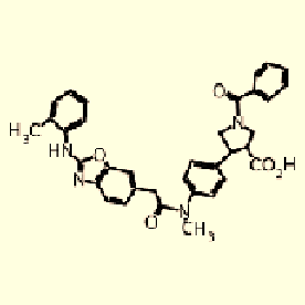 Cc1ccccc1Nc1nc2ccc(CC(=O)N(C)c3ccc(C4CN(C(=O)c5ccccc5)CC4C(=O)O)cc3)cc2o1